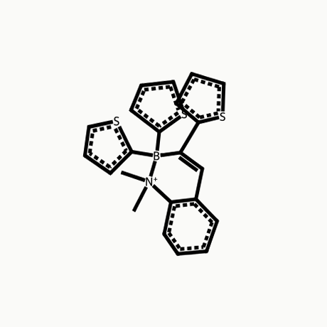 C[N+]1(C)c2ccccc2C=C(c2cccs2)[B-]1(c1cccs1)c1cccs1